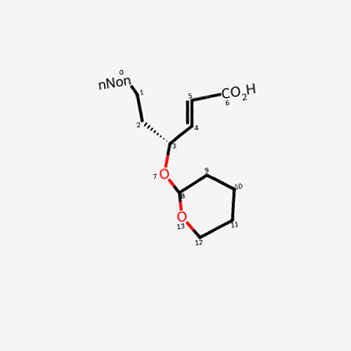 CCCCCCCCCCC[C@H](C=CC(=O)O)OC1CCCCO1